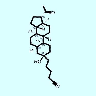 CC(=O)[C@H]1CC[C@H]2[C@@H]3CC[C@@H]4C[C@@](O)(CCCCC#N)CC[C@]4(C)[C@H]3CC[C@]12C